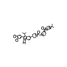 COc1ccc(-c2[nH]c3ccc(C4CCN(C(=O)CN5CCC[C@H](C(=O)N6CCN(C(C)C)CC6)C5)CC4)cc3c2C(C)C)cc1OC